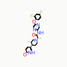 C[C@@H]1CN([C@@H](C)C(=O)Nc2cnc(Oc3ccc(F)cc3F)cn2)CC[C@H]1c1ccc(=O)[nH]c1